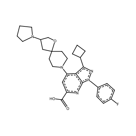 O=C(O)c1cc(N2CCC3(CC2)CC(N2CCCC2)CO3)c2c(C3CCC3)nn(-c3ccc(F)cc3)c2n1